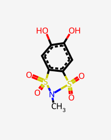 CN1S(=O)(=O)c2cc(O)c(O)cc2S1(=O)=O